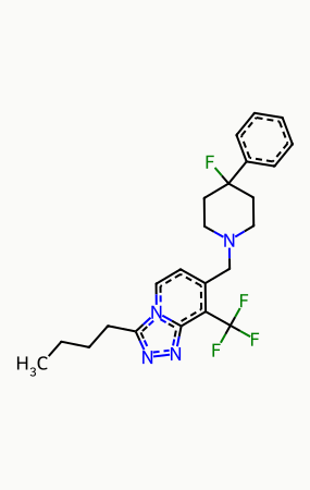 CCCCc1nnc2c(C(F)(F)F)c(CN3CCC(F)(c4ccccc4)CC3)ccn12